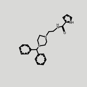 O=C(NCCN1CCN(C(c2ccccc2)c2ccccc2)CC1)c1ccc[nH]1